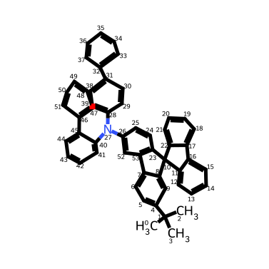 CC(C)(C)c1ccc2c(c1)C1(c3ccccc3-c3ccccc31)c1ccc(N(c3ccc(-c4ccccc4)cc3)c3ccccc3-c3ccccc3)cc1-2